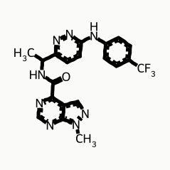 CC(NC(=O)c1ncnc2c1cnn2C)c1ccc(Nc2ccc(C(F)(F)F)cc2)nn1